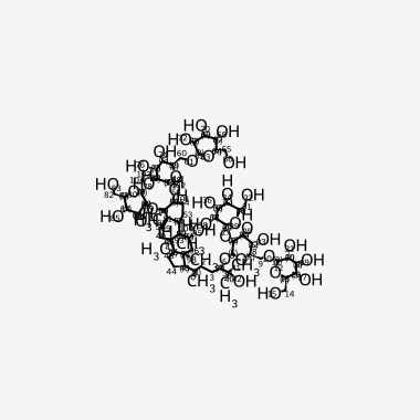 C[C@H](CC[C@@H](O[C@@H]1O[C@H](CO[C@@H]2O[C@H](CO)[C@@H](O)[C@H](O)[C@H]2O)[C@@H](O)[C@H](O)[C@H]1O[C@@H]1O[C@H](CO)[C@@H](O)[C@H](O)[C@H]1O)C(C)(C)O)[C@H]1CC[C@@]2(C)[C@@H]3CC=C4[C@@H](CC[C@@H]5O[C@@H]6O[C@H](CO[C@@H]7O[C@H](CO)[C@@H](O)[C@H](O)[C@H]7O)[C@@H](O)[C@H](O)[C@H]6O[C@@H]6O[C@H](CO)[C@@H](O)[C@H](O)[C@H]6O[C@]45C)[C@]3(C)[C@@H](O)C[C@]12C